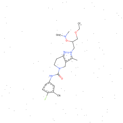 Cc1c2c(nn1CC(COCC(F)(F)F)ON(C)C=O)CCN(C(=O)Nc1ccc(F)c(C#N)c1)C2